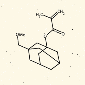 C=C(C)C(=O)OC12CC3CC(CC(COC)(C3)C1)C2